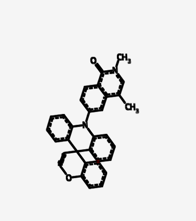 Cc1cn(C)c(=O)c2ccc(N3c4ccccc4C4(c5ccccc5Oc5ccccc54)c4ccccc43)cc12